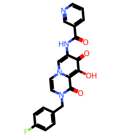 O=C(Nc1cn2ccn(Cc3ccc(F)cc3)c(=O)c2c(O)c1=O)c1cccnc1